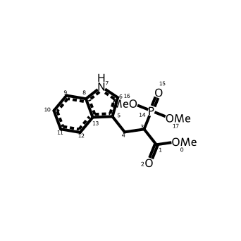 COC(=O)C(Cc1c[nH]c2ccccc12)P(=O)(OC)OC